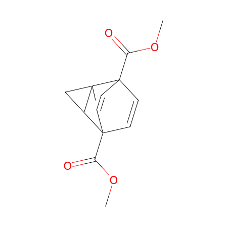 COC(=O)C12C=CC(C(=O)OC)(C=C1)C1(C)CC21